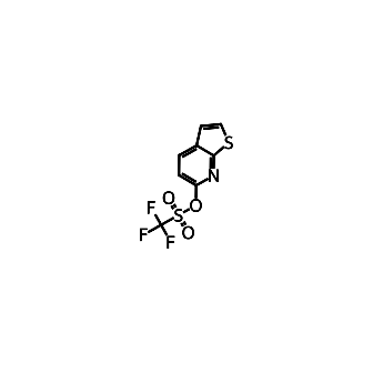 O=S(=O)(Oc1ccc2ccsc2n1)C(F)(F)F